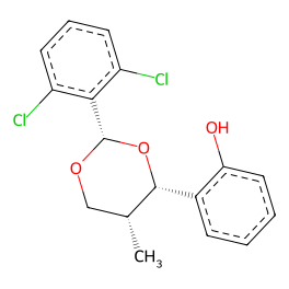 C[C@@H]1CO[C@H](c2c(Cl)cccc2Cl)O[C@@H]1c1ccccc1O